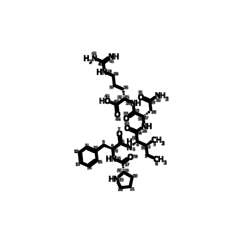 CC[C@H](C)[C@H](NC(=O)[C@H](Cc1ccccc1)NC(=O)[C@@H]1CCCN1)C(=O)N[C@@H](CC(N)=O)C(=O)N[C@@H](CCCNC(=N)N)C(=O)O